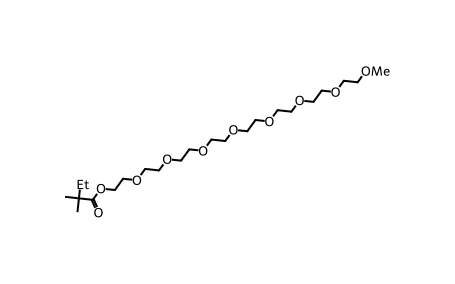 CCC(C)(C)C(=O)OCCOCCOCCOCCOCCOCCOCCOCCOC